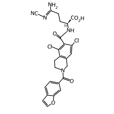 N#CN=C(N)CC[C@H](NC(=O)c1c(Cl)cc2c(c1Cl)CCN(C(=O)c1ccc3ccoc3c1)C2)C(=O)O